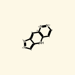 c1cc2[nH]c3cnnc-3cc2nn1